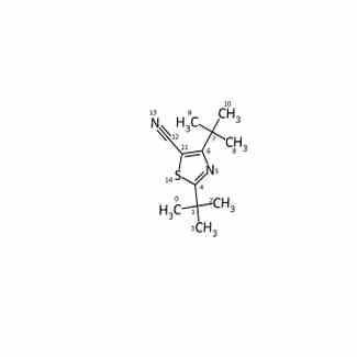 CC(C)(C)c1nc(C(C)(C)C)c(C#N)s1